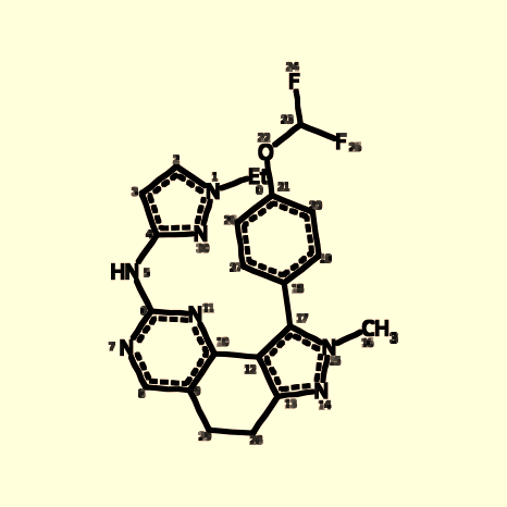 CCn1ccc(Nc2ncc3c(n2)-c2c(nn(C)c2-c2ccc(OC(F)F)cc2)CC3)n1